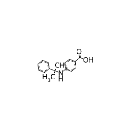 CC(C)(Nc1ccc(C(=O)O)cc1)c1ccccc1